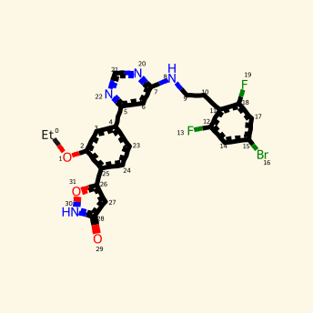 CCOc1cc(-c2cc(NCCc3c(F)cc(Br)cc3F)ncn2)ccc1-c1cc(=O)[nH]o1